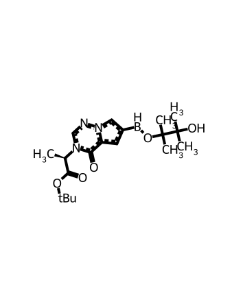 C[C@H](C(=O)OC(C)(C)C)n1cnn2cc(BOC(C)(C)C(C)(C)O)cc2c1=O